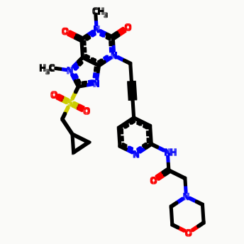 Cn1c(=O)c2c(nc(S(=O)(=O)CC3CC3)n2C)n(CC#Cc2ccnc(NC(=O)CN3CCOCC3)c2)c1=O